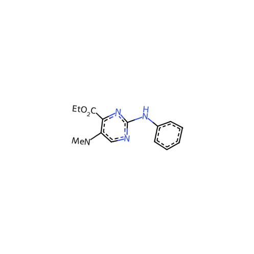 CCOC(=O)c1nc(Nc2ccccc2)ncc1NC